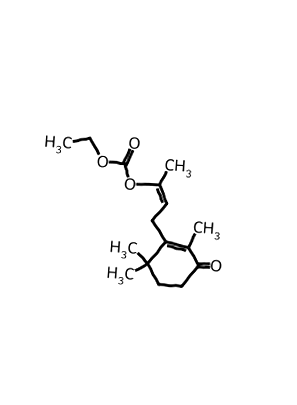 CCOC(=O)OC(C)=CCC1=C(C)C(=O)CCC1(C)C